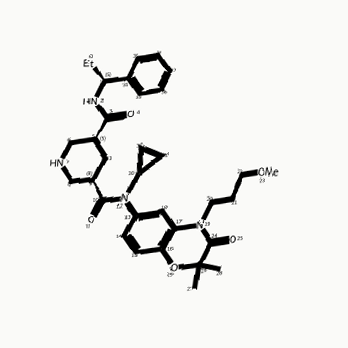 CC[C@H](NC(=O)[C@@H]1CNC[C@H](C(=O)N(c2ccc3c(c2)N(CCCOC)C(=O)C(C)(C)O3)C2CC2)C1)c1ccccc1